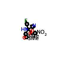 CSC1(SC)CCOc2ccc(-c3[nH]c(-c4ccc(F)cc4)c(-c4ccncc4)c3C(=O)OCc3ccc([N+](=O)[O-])cc3)cc21